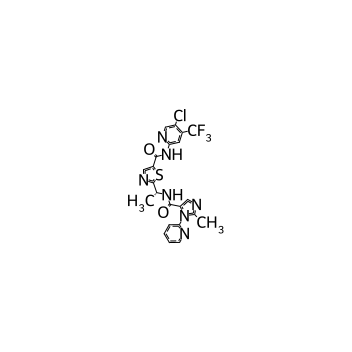 Cc1ncc(C(=O)N[C@H](C)c2ncc(C(=O)Nc3cc(C(F)(F)F)c(Cl)cn3)s2)n1-c1ccccn1